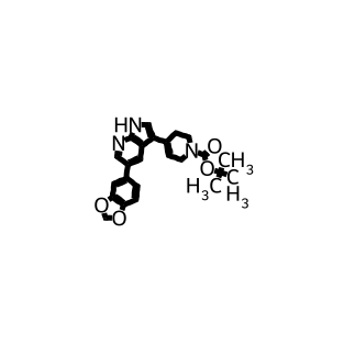 CC(C)(C)OC(=O)N1CC=C(c2c[nH]c3ncc(-c4ccc5c(c4)OCO5)cc23)CC1